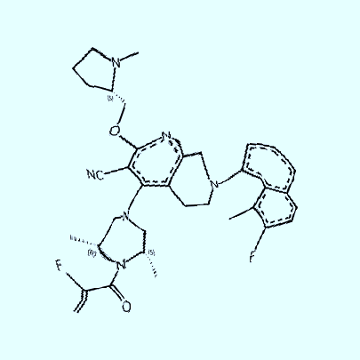 C=C(F)C(=O)N1[C@H](C)CN(c2c(C#N)c(OC[C@@H]3CCCN3C)nc3c2CCN(c2cccc4ccc(F)c(C)c24)C3)C[C@@H]1C